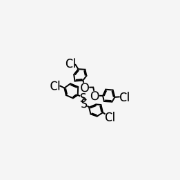 Clc1ccc(OCOc2ccc(Cl)cc2)cc1.Clc1ccc(SSc2ccc(Cl)cc2)cc1